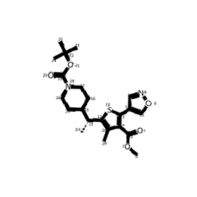 COC(=O)c1c(-c2cnoc2)sc([C@H](C)C2CCN(C(=O)OC(C)(C)C)CC2)c1C